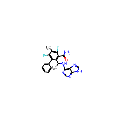 Cc1c(F)c(C(N)=O)c(C(C)Nc2ncnc3[nH]cnc23)c(-c2ccccc2)c1F